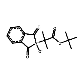 CC(C)(C)OC(=O)C(C)(C)[N+]1([O-])C(=O)c2ccccc2C1=O